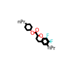 CCCc1cc2c(c(F)c1F)OC(C(=O)OC1CCC(CCC)CC1)CC2